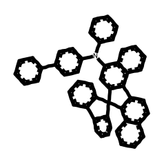 c1ccc(-c2ccc(N(c3ccccc3)c3cc4c(c5ccccc35)-c3ccc5ccccc5c3C43c4ccccc4-c4ccccc43)cc2)cc1